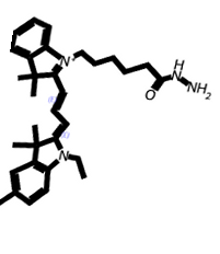 CCN1/C(=C/C=C/C2=[N+](CCCCCC(=O)NN)c3ccccc3C2(C)C)C(C)(C)c2cc(C)ccc21